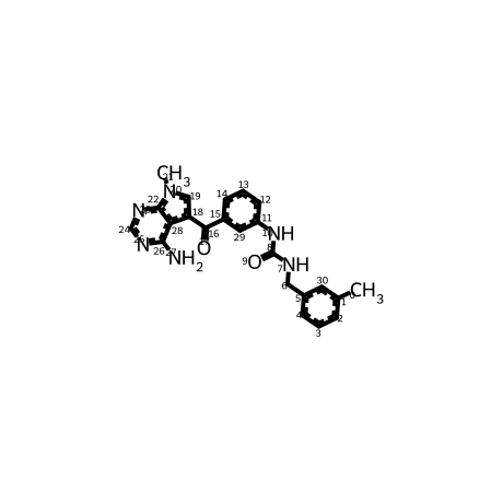 Cc1cccc(CNC(=O)Nc2cccc(C(=O)c3cn(C)c4ncnc(N)c34)c2)c1